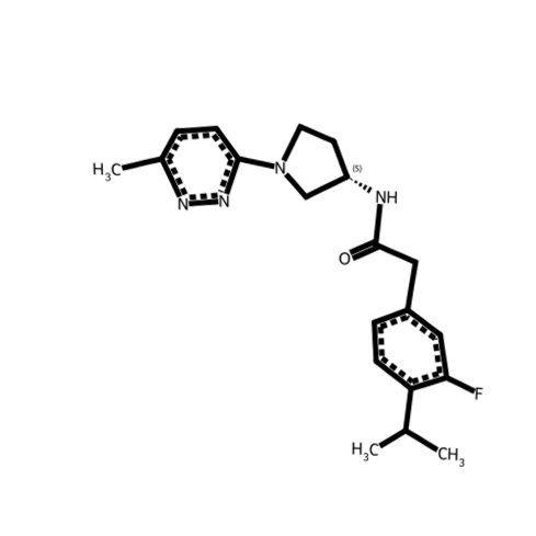 Cc1ccc(N2CC[C@H](NC(=O)Cc3ccc(C(C)C)c(F)c3)C2)nn1